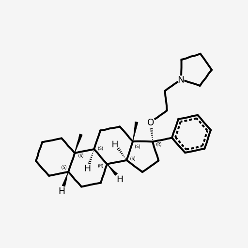 C[C@]12CCCC[C@H]1CC[C@@H]1[C@@H]2CC[C@@]2(C)[C@H]1CC[C@]2(OCCN1CCCC1)c1ccccc1